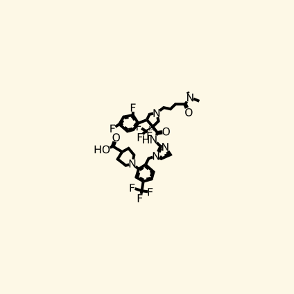 CN(C)C(=O)CCCN1CC(c2ccc(F)cc2F)[C@](C(=O)Nc2nccn2Cc2ccc(C(F)(F)F)cc2N2CCC(C(=O)O)CC2)(C(F)(F)F)C1